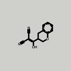 N#CC(C#N)=C(O)C1COc2ccccc2C1